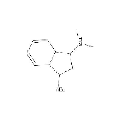 CCCCC1CC([SiH](C)C)C2C=CC=CC12